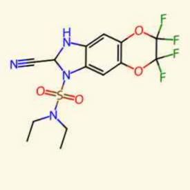 CCN(CC)S(=O)(=O)N1c2cc3c(cc2NC1C#N)OC(F)(F)C(F)(F)O3